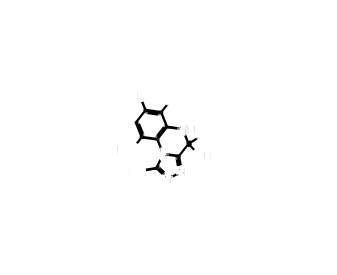 Cc1nnc2n1-c1c(C(F)(F)F)cc(F)c(F)c1NC2(C)C